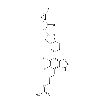 CC(=O)NCCSc1c(F)c(Cl)c(-c2ccc3nc(NC(=O)[C@@H]4C[C@@H]4F)sc3c2)c2cn[nH]c12